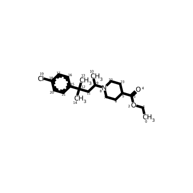 CCOC(=O)C1CCN(C(C)CC(C)(C)c2ccc(Cl)cc2)CC1